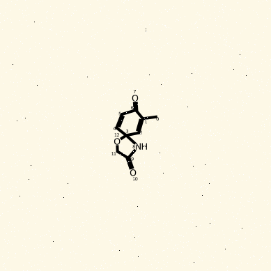 CC1=CC2(C=CC1=O)NC(=O)CO2